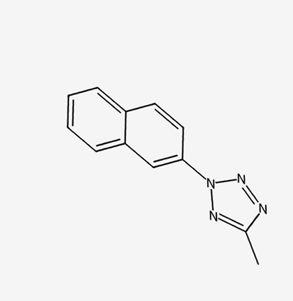 Cc1nnn(-c2ccc3ccccc3c2)n1